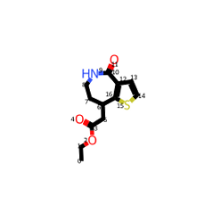 CCOC(=O)CC1CCNC(=O)c2ccsc21